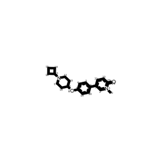 Cn1cc(-c2ccc(OC3CCN(C4CCC4)CC3)cc2)ccc1=O